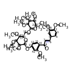 COc1ccc(/C=C/C(=O)c2ccc(O[C@@H]3O[C@H](CO[C@@H]4O[C@@H](C)[C@H](OC)[C@@H](OC)[C@H]4OC)[C@@H](OC)[C@H](OC)[C@H]3OC)cc2OC)cc1OC